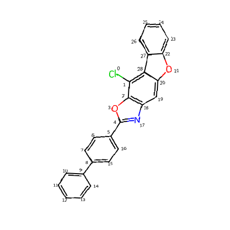 Clc1c2oc(-c3ccc(-c4ccccc4)cc3)nc2cc2oc3ccccc3c12